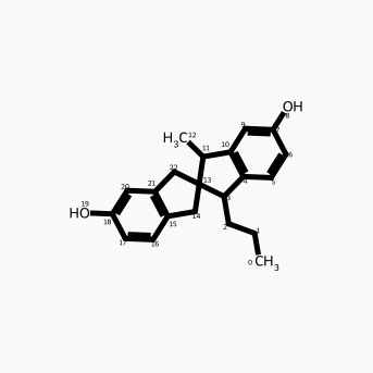 CCCC1c2ccc(O)cc2C(C)C12Cc1ccc(O)cc1C2